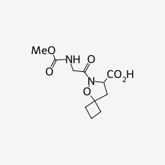 COC(=O)NCC(=O)N1OC2(CCC2)CC1C(=O)O